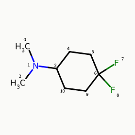 CN(C)C1CCC(F)(F)CC1